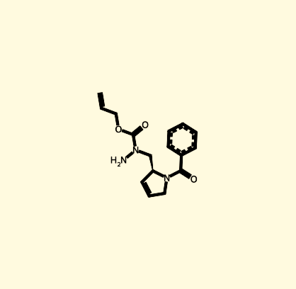 C=CCOC(=O)N(N)C[C@@H]1C=CCN1C(=O)c1ccccc1